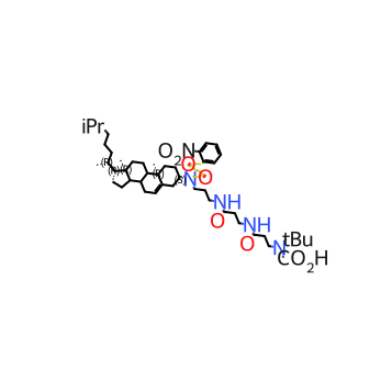 CC(C)CCC[C@@H](C)[C@H]1CCC2C3CC=C4C[C@@H](N(CCCNC(=O)CCNC(=O)CCN(C(=O)O)C(C)(C)C)S(=O)(=O)c5ccccc5[N+](=O)[O-])CC[C@]4(C)C3CC[C@@]21C